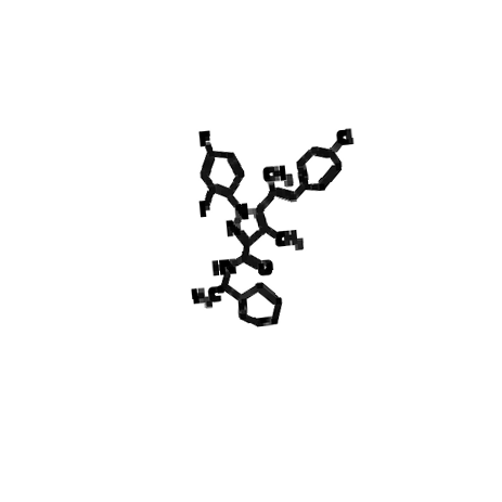 C/C(=C\c1ccc(Cl)cc1)c1c(C)c(C(=O)N[C@H](C)c2ccccc2)nn1-c1ccc(F)cc1F